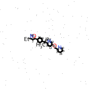 CCc1cc(-c2ccc(C(C)(c3ccc(OCc4ccccn4)cn3)C(C)C)cc2)on1